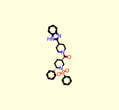 O=C([C@@H]1CC[C@@H](c2ccccc2)N(S(=O)(=O)c2ccccc2)C1)N1CCC(c2nc3ccccc3[nH]2)CC1